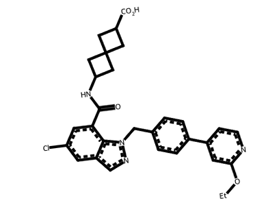 CCOc1cc(-c2ccc(Cn3ncc4cc(Cl)cc(C(=O)NC5CC6(C5)CC(C(=O)O)C6)c43)cc2)ccn1